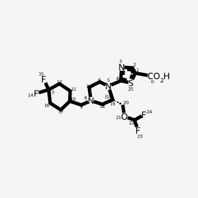 O=C(O)c1cnc(N2CCN(CC3CCC(F)(F)CC3)C[C@H]2COC(F)F)s1